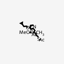 COCOC(Cc1cc(OCCC2CC2)ccn1)(C(C)=O)C(C)CCSC(C)=O